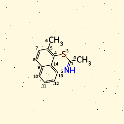 CC(=N)Sc1c(C)ccc2ccccc12